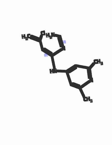 C=C(Cl)/C=C(\N=C/N)Nc1cc(C)nc(C)c1